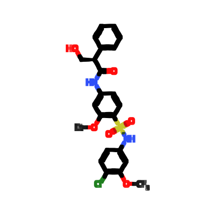 CCOc1cc(NC(=O)[C@@H](CO)c2ccccc2)ccc1S(=O)(=O)Nc1ccc(Cl)c(OC(F)(F)F)c1